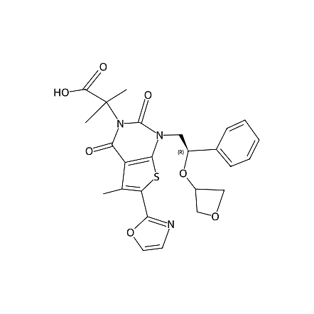 Cc1c(-c2ncco2)sc2c1c(=O)n(C(C)(C)C(=O)O)c(=O)n2C[C@H](OC1COC1)c1ccccc1